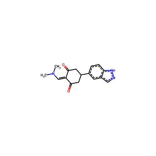 CN(C)C=C1C(=O)CC(c2ccc3[nH]ncc3c2)CC1=O